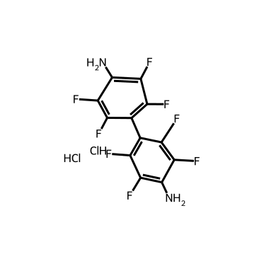 Cl.Cl.Nc1c(F)c(F)c(-c2c(F)c(F)c(N)c(F)c2F)c(F)c1F